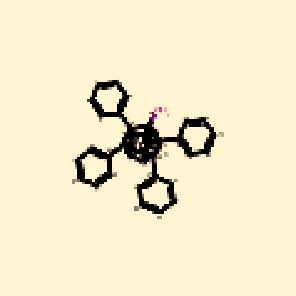 P[C]12[C]3(c4ccccc4)[C]4(c5ccccc5)[C]5(c6ccccc6)[C]1(c1ccccc1)[Fe]23451678[CH]2[CH]1[CH]6[CH]7[CH]28